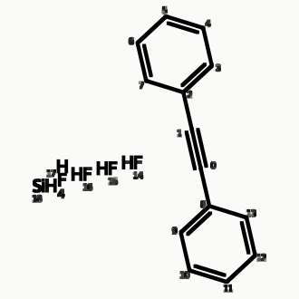 C(#Cc1ccccc1)c1ccccc1.F.F.F.F.[SiH4]